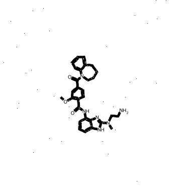 COc1cc(C(=O)N2CCCCc3ccccc32)ccc1C(=O)Nc1cccc2[nH]c(N(C)CCN)nc12